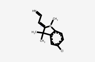 CN1/C(=C\C=N)C(C)(C)c2cc(Cl)ccc21